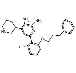 Nc1nc(-c2c(O)cccc2OCCCc2ccccc2)cc(C2CCCNC2)c1N